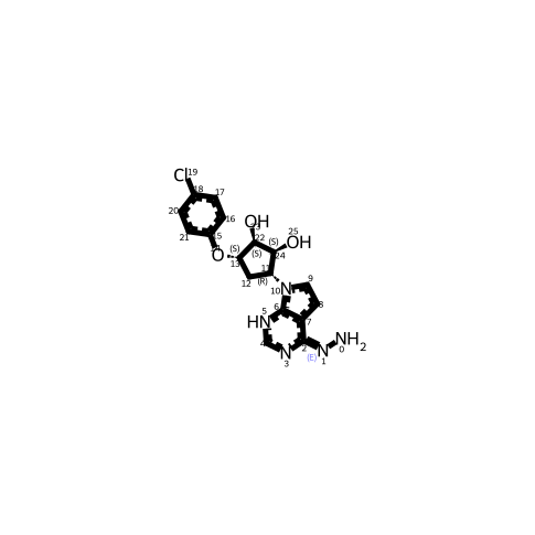 N/N=c1/nc[nH]c2c1ccn2[C@@H]1C[C@H](Oc2ccc(Cl)cc2)[C@@H](O)[C@H]1O